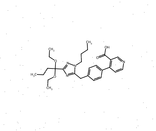 CCCCn1nc(C(CCC)(OCC)OCC)nc1Cc1ccc(-c2ccncc2C(=O)O)cc1